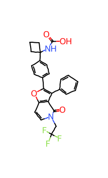 O=C(O)NC1(c2ccc(-c3oc4ccn(CC(F)(F)F)c(=O)c4c3-c3ccccc3)cc2)CCC1